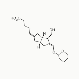 O=C(O)CCC/C=C1/C[C@H]2C/C(=C\OC3CCCCO3)[C@H](CO)[C@H]2C1